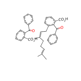 CC(C)=CCCC(C)=CCc1cccc(C(=O)O)c1C(=O)c1ccccc1.O=C(O)c1ccccc1C(=O)c1ccccc1